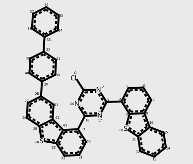 Clc1nc(-c2cccc3c2sc2ccccc23)nc(-c2cccc3sc4ccc(-c5ccc(-c6ccccc6)cc5)cc4c23)n1